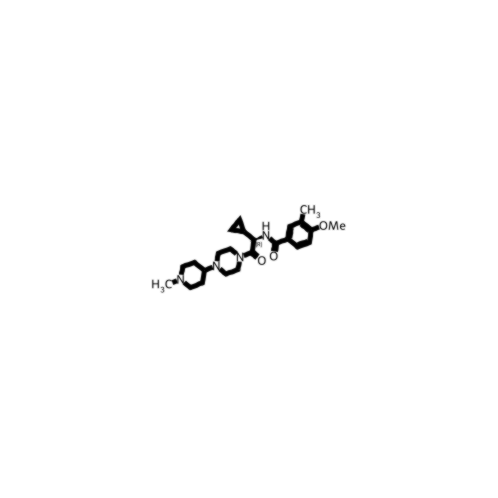 COc1ccc(C(=O)N[C@@H](C(=O)N2CCN(C3CCN(C)CC3)CC2)C2CC2)cc1C